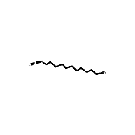 CC(C)CCCCCCCCCCCN=C=O